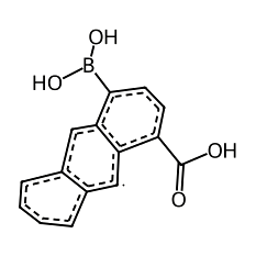 O=C(O)c1ccc(B(O)O)c2cc3ccccc3[c]c12